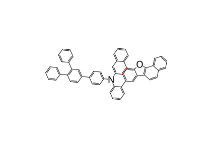 c1ccc(-c2ccc(-c3ccc(N(c4ccc5ccccc5c4)c4ccccc4-c4ccc5oc6c7ccccc7ccc6c5c4)cc3)cc2-c2ccccc2)cc1